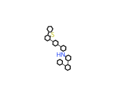 c1ccc(-c2ccccc2-c2cccc(Nc3cccc(-c4ccc(-c5cccc6c5sc5ccccc56)cc4)c3)c2)cc1